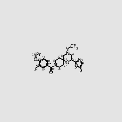 Cc1cnc(C2CN(CC(F)(F)F)CC3(CCN(C(=O)c4ccc(OC(C)C)c(C)c4)CC3)O2)s1